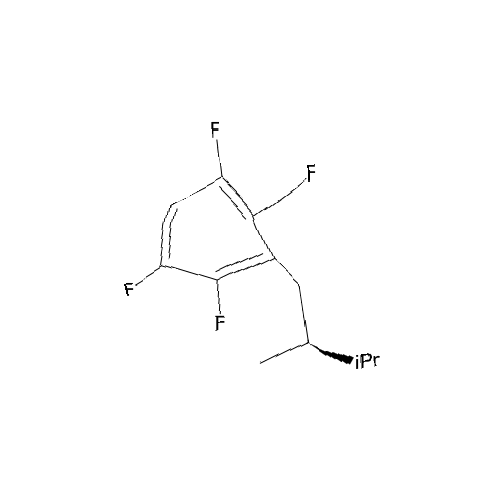 CC(C)[C@@H](C)Cc1c(F)c(F)cc(F)c1F